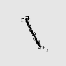 COCCOCCOCCOCCOCCOCCC[Si](Cl)(Cl)Cl